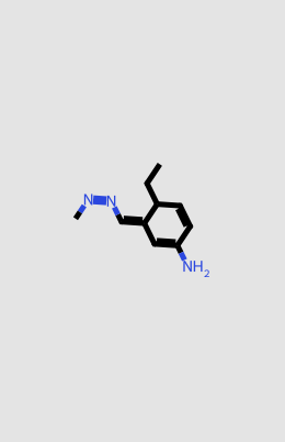 CCC1C=CC(N)=C/C1=C/N=N\C